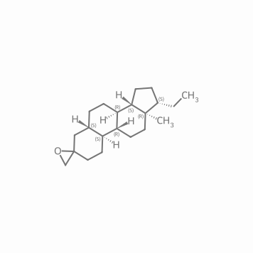 CC[C@H]1CC[C@H]2[C@@H]3CC[C@H]4CC5(CC[C@@H]4[C@H]3CC[C@]12C)CO5